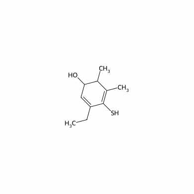 CCC1=CC(O)C(C)C(C)=C1S